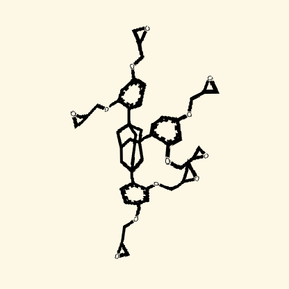 c1cc(C23CC4CC(c5ccc(OCC6CO6)cc5OCC5CO5)(C2)CC(c2ccc(OCC5CO5)cc2OCC2CO2)(C4)C3)c(OCC2CO2)cc1OCC1CO1